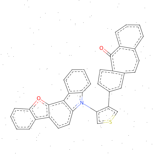 O=c1c2ccccc2ccc2cc(-c3cscc3-n3c4ccccc4c4c5oc6ccccc6c5ccc43)ccc12